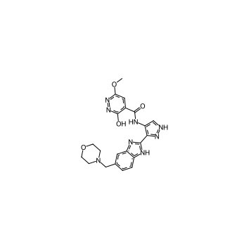 COc1cc(C(=O)Nc2c[nH]nc2-c2nc3cc(CN4CCOCC4)ccc3[nH]2)c(O)nn1